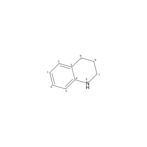 [c]1ccc2c(c1)NCC[CH]2